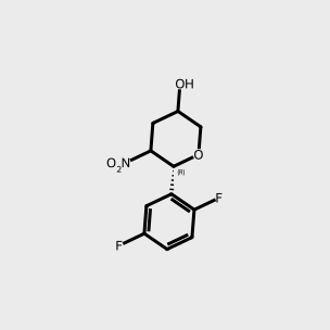 O=[N+]([O-])C1CC(O)CO[C@@H]1c1cc(F)ccc1F